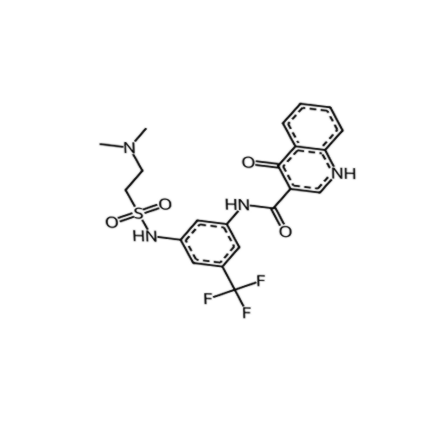 CN(C)CCS(=O)(=O)Nc1cc(NC(=O)c2c[nH]c3ccccc3c2=O)cc(C(F)(F)F)c1